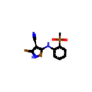 CS(=O)(=O)c1ccccc1Nc1s[nH]c(=S)c1C#N